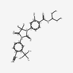 CCC(CC)OC(=O)c1ccc(N2C(=S)N(c3ccc(C#N)c(C(F)(F)F)c3)C(=O)C2(C)C)cc1F